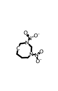 O=[N+]([O-])N1CCCCCN([N+](=O)[O-])C1